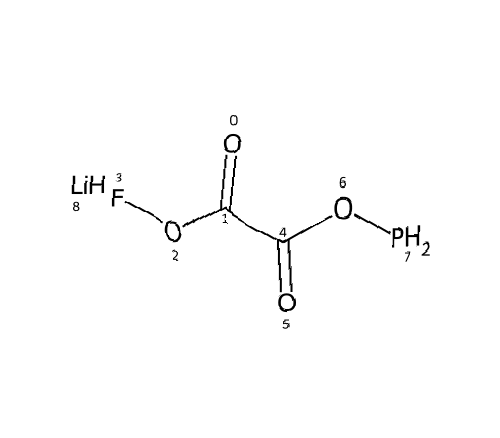 O=C(OF)C(=O)OP.[LiH]